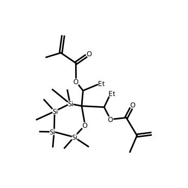 C=C(C)C(=O)OC(CC)C1(C(CC)OC(=O)C(=C)C)O[Si](C)(C)[Si](C)(C)[Si](C)(C)[Si]1(C)C